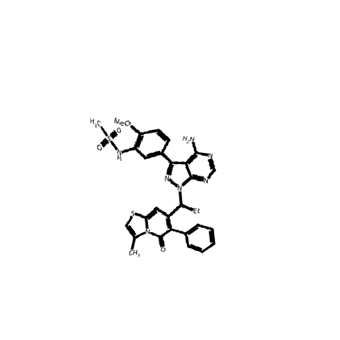 CCC(c1cc2scc(C)n2c(=O)c1-c1ccccc1)n1nc(-c2ccc(OC)c(NS(C)(=O)=O)c2)c2c(N)ncnc21